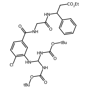 CCOC(=O)CC(NC(=O)CNC(=O)c1ccc(Cl)c(NC(NC(=O)OC(C)(C)C)NC(=O)OC(C)(C)C)c1)c1ccccc1